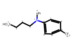 CCCN(CCCS(=O)(=O)O)c1ccc(C(F)(F)F)cc1